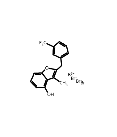 Cc1c(Cc2cccc(C(F)(F)F)c2)oc2cccc(O)c12.[B+3].[Br-].[Br-].[Br-]